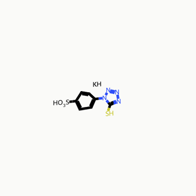 O=S(=O)(O)c1ccc(-n2nnnc2S)cc1.[KH]